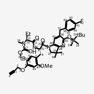 C#CCOc1ccc(C[C@H](NC(=O)[C@H](CC)N(C)C(=O)OC(C)(C)C)C(=O)N2CC(C)(C)c3nc(O[Si](C)(C)C(C)(C)C)c(Cc4ccc(F)cc4)cc32)c(OC)c1